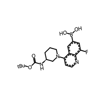 CC(C)(C)OC(=O)N[C@H]1CCCN(c2ccnc3c(F)cc(B(O)O)cc23)C1